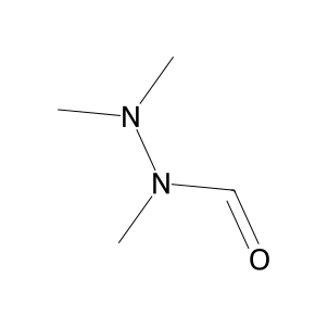 CN(C)N(C)C=O